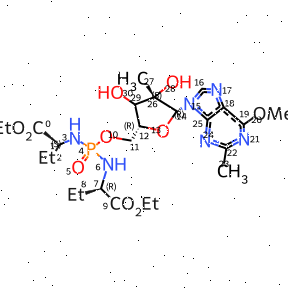 CCOC(=O)[C@H](CC)NP(=O)(N[C@H](CC)C(=O)OCC)OC[C@H]1O[C@@H](n2cnc3c(OC)nc(C)nc32)[C@@](C)(O)C1O